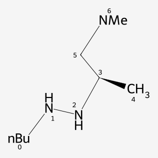 CCCCNN[C@H](C)CNC